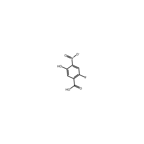 O=C(O)c1cc(O)c([N+](=O)[O-])cc1F